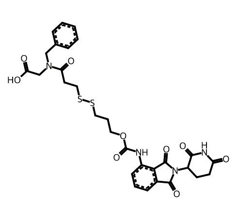 O=C(O)CN(Cc1ccccc1)C(=O)CCSSCCCOC(=O)Nc1cccc2c1C(=O)N(C1CCC(=O)NC1=O)C2=O